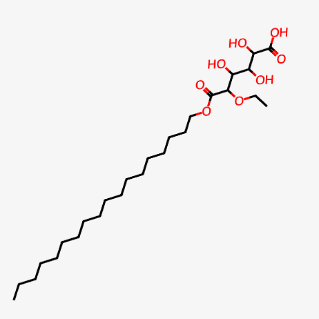 CCCCCCCCCCCCCCCCCCOC(=O)C(OCC)C(O)C(O)C(O)C(=O)O